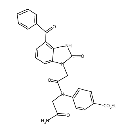 CCOC(=O)c1ccc(N(CC(N)=O)C(=O)Cn2c(=O)[nH]c3c(C(=O)c4ccccc4)cccc32)cc1